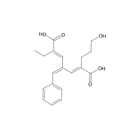 CCC(=CC(=Cc1ccccc1)C=C(CCCO)C(=O)O)C(=O)O